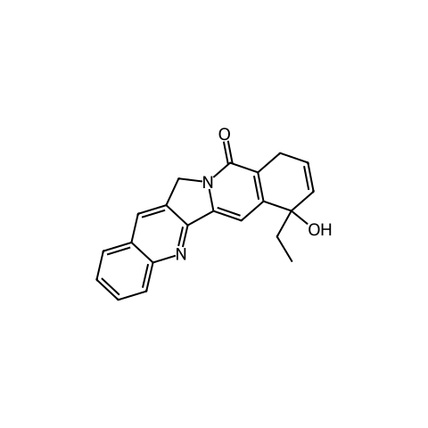 CCC1(O)C=CCc2c1cc1n(c2=O)Cc2cc3ccccc3nc2-1